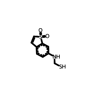 O=S1(=O)C=Cc2ccc(NCS)cc21